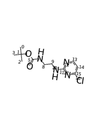 CC(C)(C)OC(=O)NCCNc1nccc(Cl)n1